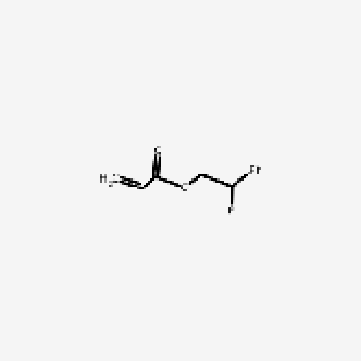 C=CC(=O)OCC(F)CC